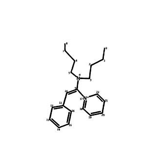 CCCCN(CCCC)C(=Cc1ccccc1)[n+]1ccccc1